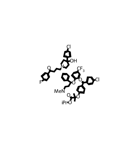 CC(C)OC(=O)C(C)(C)Oc1ccc(C(=O)c2ccc(Cl)cc2)cc1.CNCCC(Oc1ccc(C(F)(F)F)cc1)c1ccccc1.O=C(CCCN1CCC(O)(c2ccc(Cl)cc2)CC1)c1ccc(F)cc1